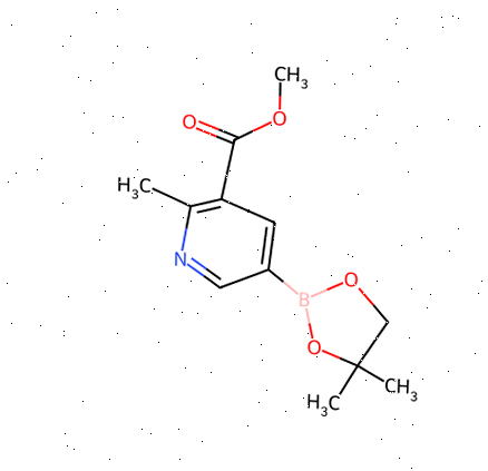 COC(=O)c1cc(B2OCC(C)(C)O2)cnc1C